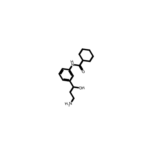 NCCC(O)c1cccc(NC(=O)C2CCCCC2)c1